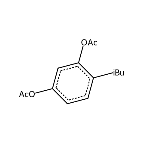 CCC(C)c1ccc(OC(C)=O)cc1OC(C)=O